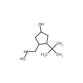 CC(C)(C)N1CC(O)CC1CBO